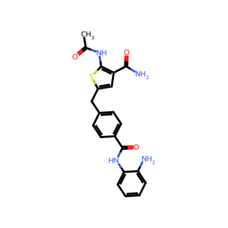 CC(=O)Nc1sc(Cc2ccc(C(=O)Nc3ccccc3N)cc2)cc1C(N)=O